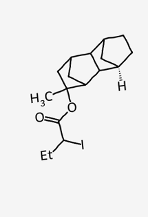 CCC(I)C(=O)OC1(C)CC2CC1C1C2C2CC[C@@H]1C2